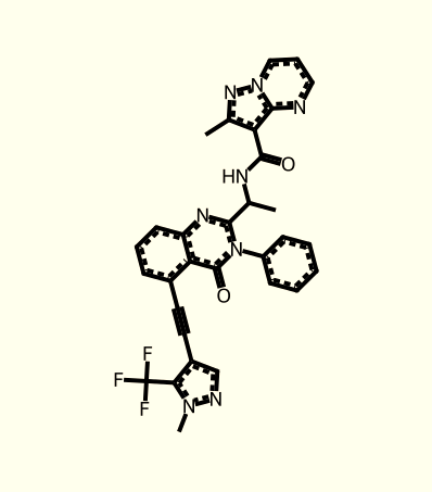 Cc1nn2cccnc2c1C(=O)NC(C)c1nc2cccc(C#Cc3cnn(C)c3C(F)(F)F)c2c(=O)n1-c1ccccc1